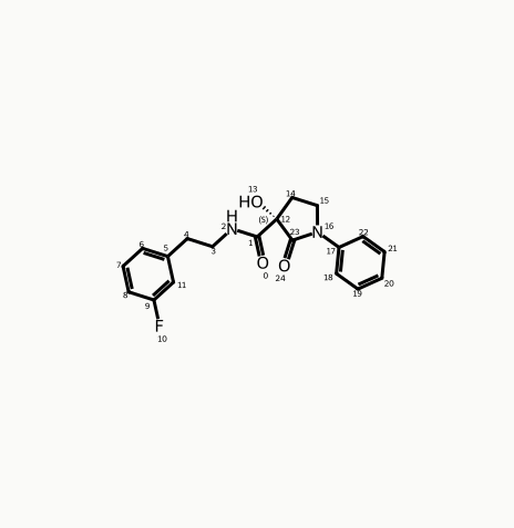 O=C(NCCc1cccc(F)c1)[C@@]1(O)CCN(c2ccccc2)C1=O